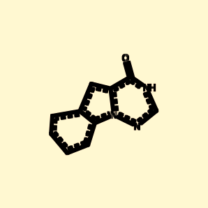 O=c1[nH]cnn2c1cc1ccccc12